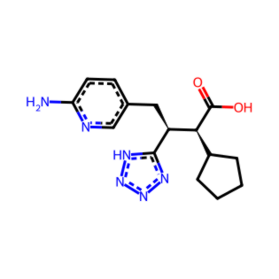 Nc1ccc(C[C@H](c2nnn[nH]2)[C@@H](C(=O)O)C2CCCC2)cn1